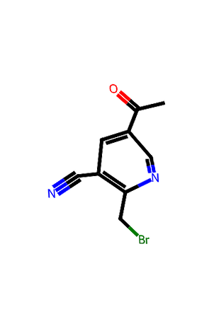 CC(=O)c1cnc(CBr)c(C#N)c1